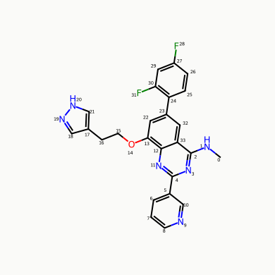 CNc1nc(-c2cccnc2)nc2c(OCCc3cn[nH]c3)cc(-c3ccc(F)cc3F)cc12